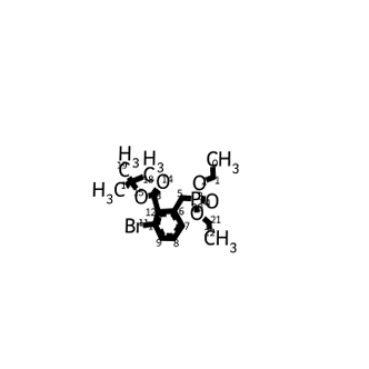 CCOP(=O)(Cc1cccc(Br)c1C(=O)OC(C)(C)C)OCC